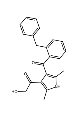 Cc1[nH]c(C)c(C(=O)c2ccccc2Cc2ccccc2)c1C(=O)CO